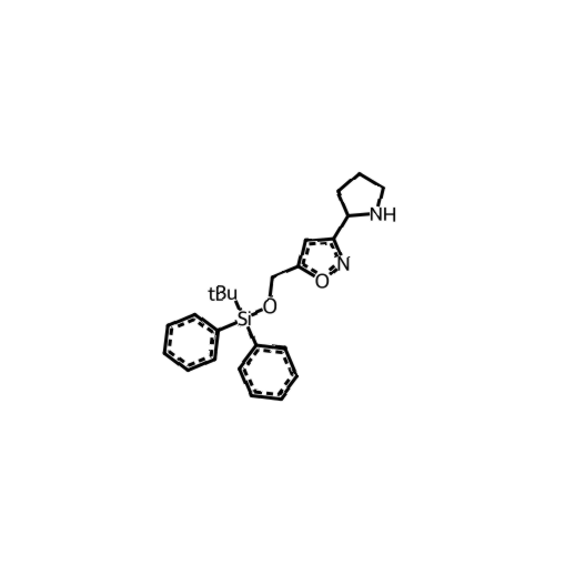 CC(C)(C)[Si](OCc1cc(C2CCCN2)no1)(c1ccccc1)c1ccccc1